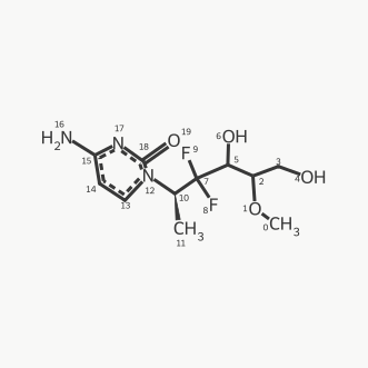 COC(CO)C(O)C(F)(F)[C@@H](C)n1ccc(N)nc1=O